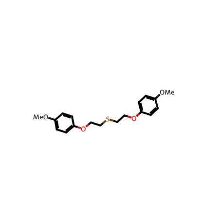 COc1ccc(OCCSCCOc2ccc(OC)cc2)cc1